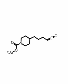 CC(C)(C)OC(=O)N1CCC(CCCC=C=O)CC1